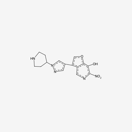 O=[N+]([O-])c1ncc2c(-c3cnn(C4CCNCC4)c3)coc2c1O